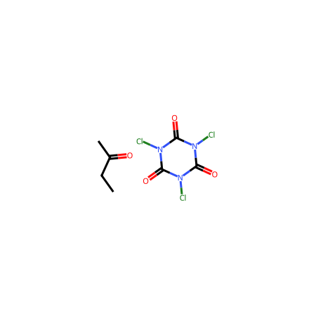 CCC(C)=O.O=c1n(Cl)c(=O)n(Cl)c(=O)n1Cl